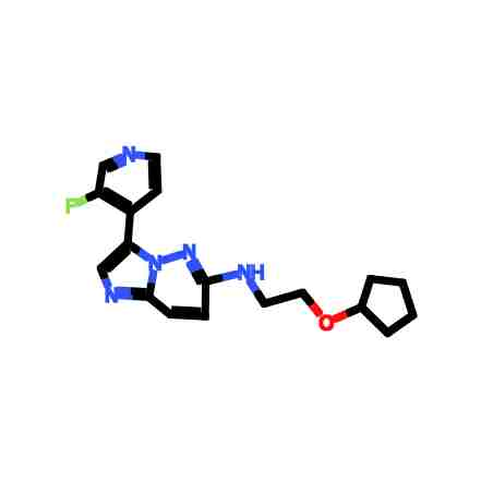 Fc1cnccc1-c1cnc2ccc(NCCOC3CCCC3)nn12